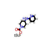 CC(C)(C)OC(=O)N1CCC(Nc2ccccn2)CC1